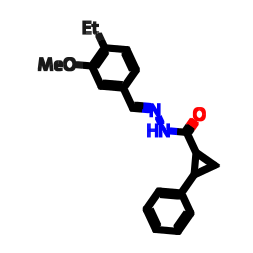 CCc1ccc(/C=N/NC(=O)C2CC2c2ccccc2)cc1OC